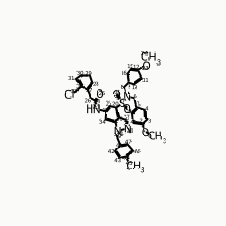 COc1ccc(CN(Cc2ccc(OC)cc2)S(=O)(=O)c2cc(NC(=O)Cc3ccccc3Cl)cc3c2cnn3Cc2ccc(C)cc2)cc1